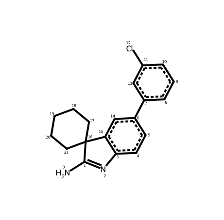 NC1=Nc2ccc(-c3cccc(Cl)c3)cc2C12CCCCC2